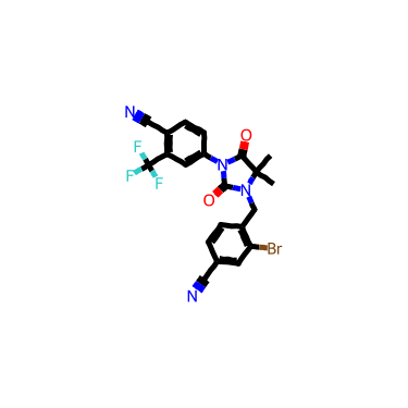 CC1(C)C(=O)N(c2ccc(C#N)c(C(F)(F)F)c2)C(=O)N1Cc1ccc(C#N)cc1Br